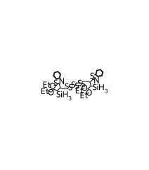 CCOC(OCC)C([SiH3])C(CSSSSSSCC(c1nc2ccccc2s1)C([SiH3])C(OCC)OCC)c1nc2ccccc2s1